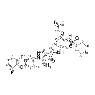 Cc1cc(Oc2c(F)cccc2F)ncc1-n1ncc(C(=O)c2cc3cc(OCC(F)F)c(NS(=O)(=O)C4CCCCC4)cc3[nH]2)c1N